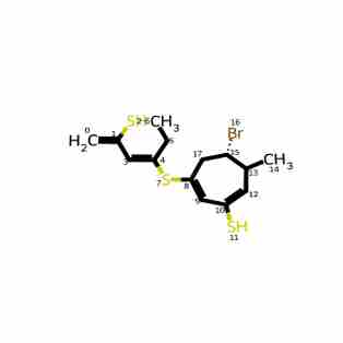 C=C(S)/C=C(\CC)SC1=CC(S)=CC(C)[C@@H](Br)C1